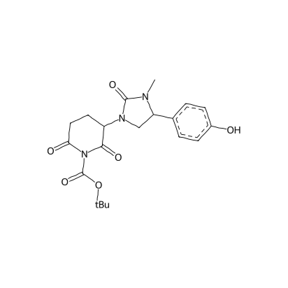 CN1C(=O)N(C2CCC(=O)N(C(=O)OC(C)(C)C)C2=O)CC1c1ccc(O)cc1